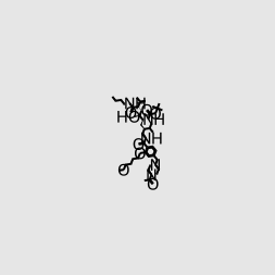 CCCCNC(=O)[C@@H](C[C@H](O)[C@H](C[C@H](CNC(=O)c1ccc(CN2CCN(C(C)=O)CC2)cc1OCCCCOC)C(C)C)NC(=O)OC(C)(C)C)C(C)C